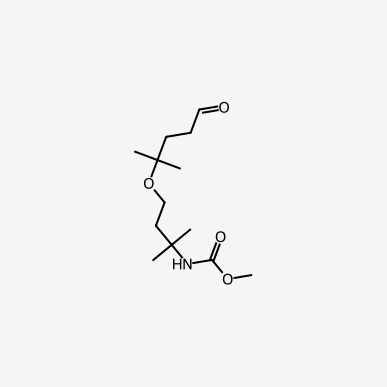 COC(=O)NC(C)(C)CCOC(C)(C)CCC=O